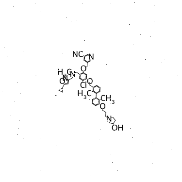 Cc1c(COc2cc(OCc3cncc(C#N)c3)c(CN(C)Cc3cc(C4CC4)on3)cc2Cl)cccc1-c1cccc(OCCCN2CCC(O)C2)c1C